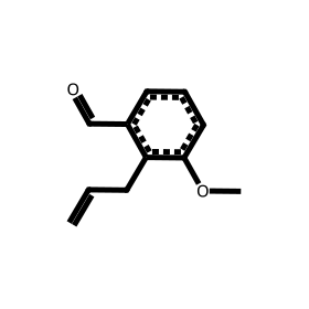 C=CCc1c(C=O)cccc1OC